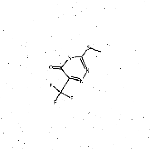 CSc1nnc(C(F)(F)F)c(=O)[nH]1